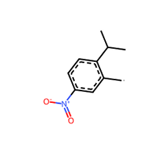 [CH2]c1cc([N+](=O)[O-])ccc1C(C)C